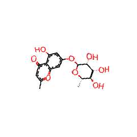 Cc1cc(=O)c2c(O)cc(O[C@@H]3O[C@@H](C)[C@H](O)[C@@H](O)[C@H]3O)cc2o1